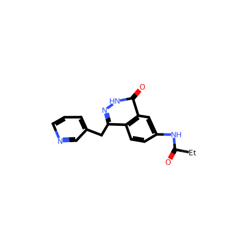 CCC(=O)Nc1ccc2c(Cc3cccnc3)n[nH]c(=O)c2c1